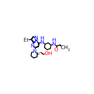 C=CC(=O)NC1CCCC(Nc2cc(N3CCCC[C@H]3CCO)nc3c(CC)cnn23)C1